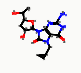 CCC(O)[C@@H]1C[C@@H](O)[C@H](n2c(=O)n(CC3CC3)c3c(=O)[nH]c(N)nc32)O1